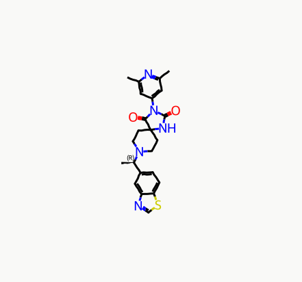 Cc1cc(N2C(=O)NC3(CCN([C@H](C)c4ccc5scnc5c4)CC3)C2=O)cc(C)n1